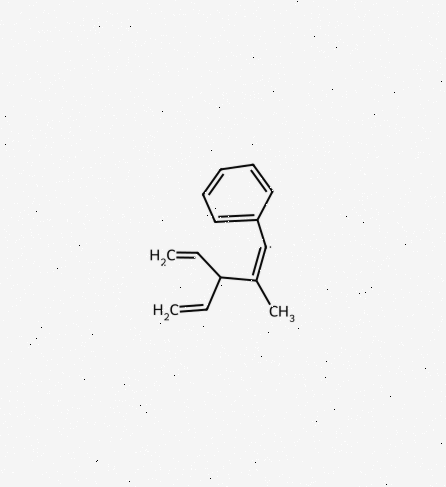 C=CC(C=C)C(C)=[C]c1ccccc1